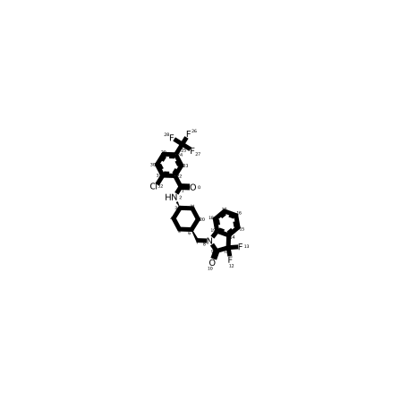 O=C(N[C@H]1CC[C@H](CN2C(=O)C(F)(F)c3ccccc32)CC1)c1cc(C(F)(F)F)ccc1Cl